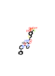 CC(C)(C)[C@H](NC(=O)c1cc2cc(C(F)(F)P(=O)(O)O)ccc2s1)C(=O)N1CCC[C@H]1C(=O)N1CCC[C@H](c2ccccc2)C1